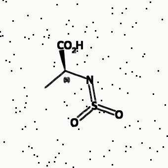 C[C@H](N=S(=O)=O)C(=O)O